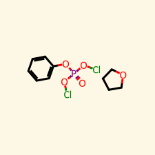 C1CCOC1.O=P(OCl)(OCl)Oc1ccccc1